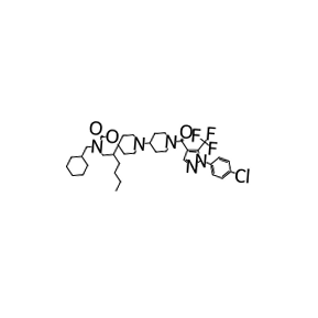 CCCCC1CN(CC2CCCCC2)C(=O)OC12CCN(C1CCN(C(=O)c3cnn(-c4ccc(Cl)cc4)c3C(F)(F)F)CC1)CC2